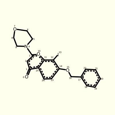 O=c1cc(N2CCOCC2)oc2c(I)c(OCc3ccccc3)ccc12